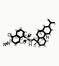 CC(C)C1CC[C@@H]2C(=CCC3[C@@](C)(CNS(=O)(=O)c4cccc5c4C=CC(=[N+]=[N-])C5=O)CCC[C@@]32C)C1